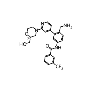 NCc1ccc(NC(=O)c2cccc(C(F)(F)F)c2)cc1-c1ccnc(N2CCO[C@H](CO)C2)c1